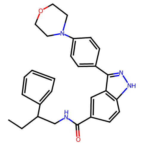 CCC(CNC(=O)c1ccc2[nH]nc(-c3ccc(N4CCOCC4)cc3)c2c1)c1ccccc1